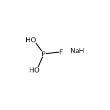 OP(O)F.[NaH]